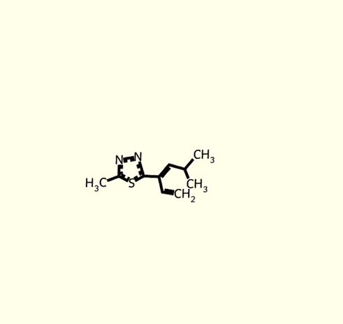 C=C/C(=C\C(C)C)c1nnc(C)s1